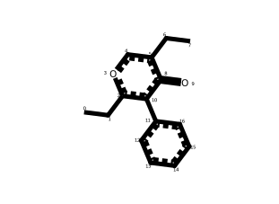 CCc1occ(CC)c(=O)c1-c1ccccc1